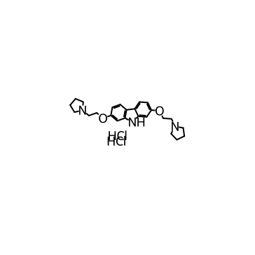 Cl.Cl.c1cc2c(cc1OCCN1CCCC1)[nH]c1cc(OCCN3CCCC3)ccc12